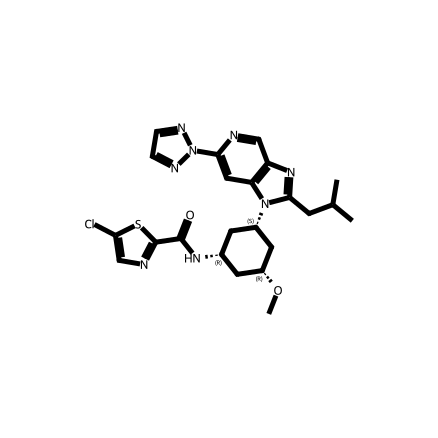 CO[C@@H]1C[C@H](NC(=O)c2ncc(Cl)s2)C[C@H](n2c(CC(C)C)nc3cnc(-n4nccn4)cc32)C1